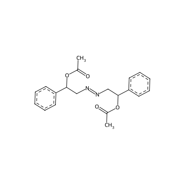 CC(=O)OC(CN=NCC(OC(C)=O)c1ccccc1)c1ccccc1